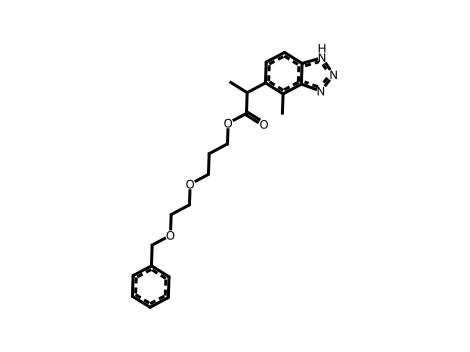 Cc1c(C(C)C(=O)OCCCOCCOCc2ccccc2)ccc2[nH]nnc12